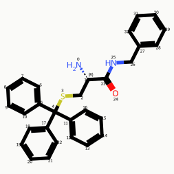 N[C@@H](CSC(c1ccccc1)(c1ccccc1)c1ccccc1)C(=O)NCc1ccccc1